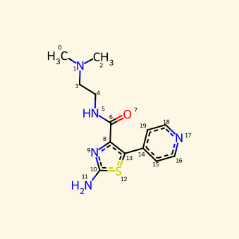 CN(C)CCNC(=O)c1nc(N)sc1-c1ccncc1